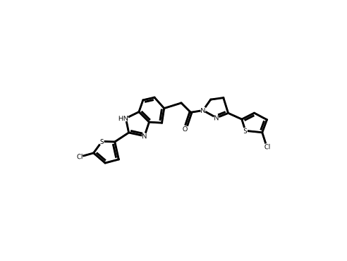 O=C(Cc1ccc2[nH]c(-c3ccc(Cl)s3)nc2c1)N1CCC(c2ccc(Cl)s2)=N1